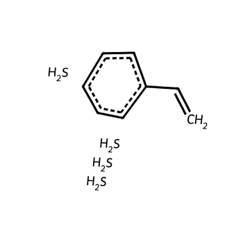 C=Cc1ccccc1.S.S.S.S